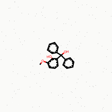 COc1cccc(C(O)(c2ccccc2)c2ccccc2)c1O